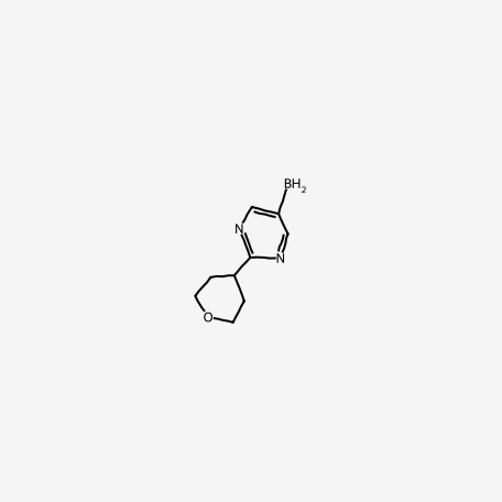 Bc1cnc(C2CCOCC2)nc1